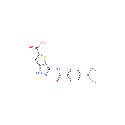 CN(C)c1ccc(C(=O)Nc2n[nH]c3cc(C(=O)O)sc23)cc1